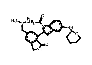 CN(C)Cc1cc2c(c(-c3cc4cc(NC5CCCCC5)ccc4n3C(=O)OC(C)(C)C)c1)C(=O)NC2